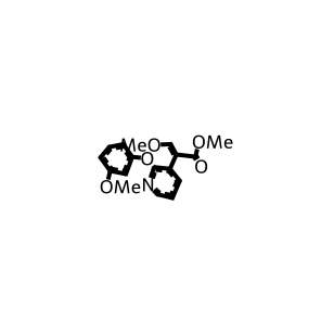 CO/C=C(/C(=O)OC)c1cccnc1Oc1cccc(OC)c1